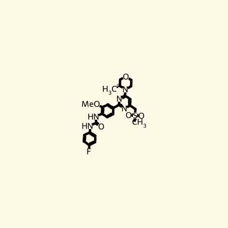 COc1cc(-c2nc(CS(C)(=O)=O)cc(N3CCOC[C@@H]3C)n2)ccc1NC(=O)Nc1ccc(F)cc1